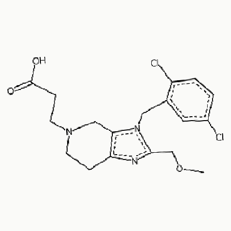 COCc1nc2c(n1Cc1cc(Cl)ccc1Cl)CN(CCC(=O)O)CC2